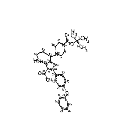 CC(C)(C)OC(=O)N1CCN(C2CCNc3c2nn(-c2ccc(Oc4ccccc4)cc2)c3C(=O)O)CC1